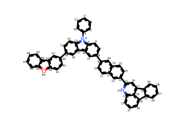 c1ccc(-n2c3ccc(-c4ccc5cc(-c6cc7c8c(cccc8n6)-c6ccccc6-7)ccc5c4)cc3c3cc(-c4ccc5oc6ccccc6c5c4)ccc32)cc1